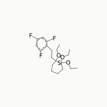 CCOC1(CCc2c(F)cc(F)cc2F)CCCC[Si]1(OCC)OCC